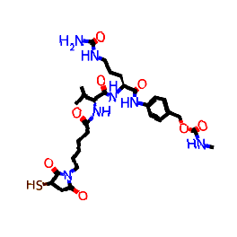 CNC(=O)OCc1ccc(NC(=O)[C@H](CCCNC(N)=O)NC(=O)[C@@H](NC(=O)CCCCCN2C(=O)CC(S)C2=O)C(C)C)cc1